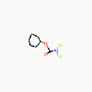 O=C(OC1CCCCC1)N(S)S